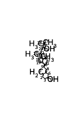 C=C1CC[C@H](O)C/C1=C/C=C1CCC[C@@]2(C)C1CC[C@@H]2[C@H](C)CC[C@@H](O)C(C)C